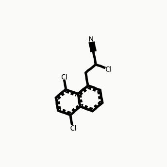 N#CC(Cl)Cc1cccc2c(Cl)ccc(Cl)c12